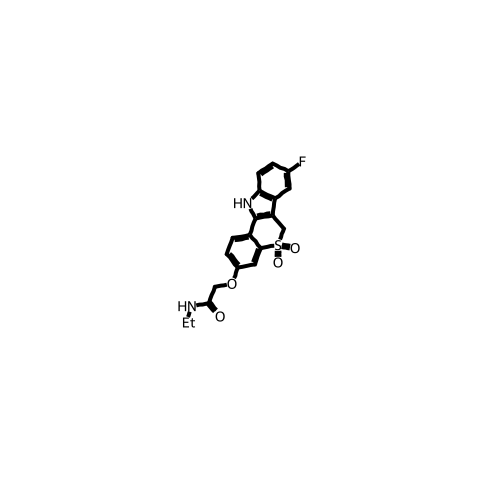 CCNC(=O)COc1ccc2c(c1)S(=O)(=O)Cc1c-2[nH]c2ccc(F)cc12